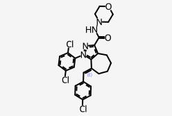 O=C(NN1CCOCC1)c1nn(-c2cc(Cl)ccc2Cl)c2c1CCCC/C2=C\c1ccc(Cl)cc1